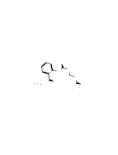 COC(=O)c1ccccc1SC(=O)N(C)CNC(=O)OC(C)(C)C